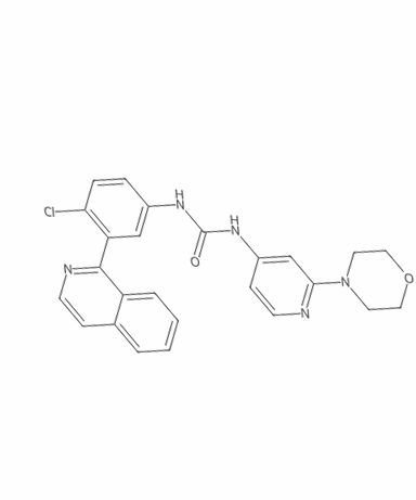 O=C(Nc1ccnc(N2CCOCC2)c1)Nc1ccc(Cl)c(-c2nccc3ccccc23)c1